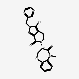 CN1C(=O)[C@@H](N2CCc3c(nn(Cc4cnccn4)c3Cl)C2=O)COc2ccccc21